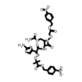 CC(C)(ON=C(C(=O)NC1C(=O)N(OCC(=O)OCc2ccc([N+](=O)[O-])cc2)C1COC(N)=O)c1csc(N)n1)C(=O)OCc1ccc([N+](=O)[O-])cc1